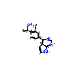 Cc1cc(-c2ncnc3[nH]ccc23)ccc1C(C)N